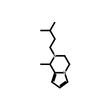 CC(C)CCN1CCn2cccc2C1C